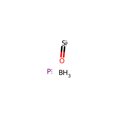 B.O=[Si].[P]